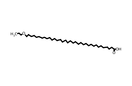 CCCOCCCCCCCCCCCCCCCCCCCCCCCCCCCCCCCCCCC(=O)O